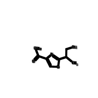 COC(=O)c1coc(C(C)CO)n1